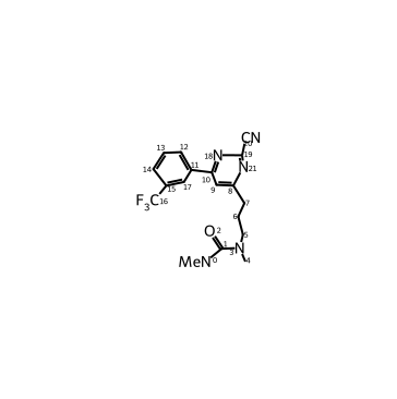 CNC(=O)N(C)CCCc1cc(-c2cccc(C(F)(F)F)c2)nc(C#N)n1